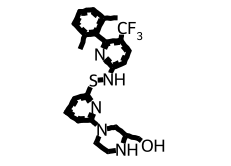 Cc1cccc(C)c1-c1nc(NSc2cccc(N3CCNC(CO)C3)n2)ccc1C(F)(F)F